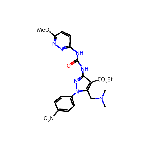 CCOC(=O)c1c(NC(=O)Nc2ccc(OC)nn2)nn(-c2ccc([N+](=O)[O-])cc2)c1CN(C)C